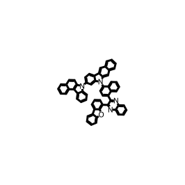 c1ccc2cc3c(cc2c1)c1ccc(-n2c4ccccc4c4c5ccccc5ccc42)cc1n3-c1ccc(-c2nc3ccccc3nc2-c2cccc3c2oc2ccccc23)c2ccccc12